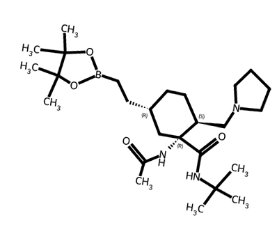 CC(=O)N[C@]1(C(=O)NC(C)(C)C)C[C@H](CCB2OC(C)(C)C(C)(C)O2)CC[C@H]1CN1CCCC1